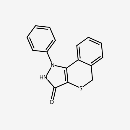 O=c1[nH]n(-c2ccccc2)c2c1SCc1ccccc1-2